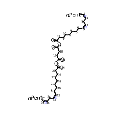 CCCCC/C=C\C/C=C\CCCCCCCC(=O)OC(=O)CCC(=O)OC(=O)CCCCCCC/C=C\C/C=C\CCCCC